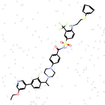 CCOc1cncc(-c2ccc(C(C)N3CCN(c4ccc(C(=O)NS(=O)(=O)c5ccc(NCCSc6ccccc6)c(C(F)(F)F)c5)cc4)CC3)c(F)c2)c1